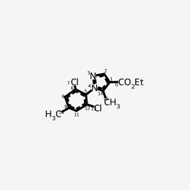 CCOC(=O)c1cnn(-c2c(Cl)cc(C)cc2Cl)c1C